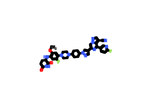 COc1cc(N2CCN(C3CCC(n4cc(-c5cn6ncc(C#N)c6c(-c6ccc(F)nc6)n5)cn4)CC3)CC2)c(F)cc1NC1CCC(=O)NC1=O